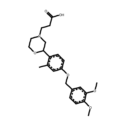 COc1ccc(COc2ccc(C3CN(CCC(=O)O)CCO3)c(C)c2)cc1OC